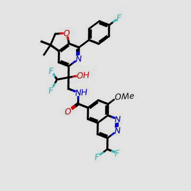 COc1cc(C(=O)NCC(O)(c2cc3c(c(-c4ccc(F)cc4)n2)OCC3(C)C)C(F)F)cc2cc(C(F)F)nnc12